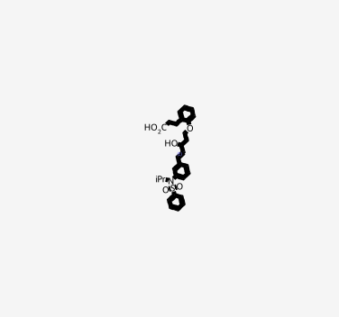 CC(C)N(c1cccc(/C=C/C(O)CCOc2ccccc2CCC(=O)O)c1)S(=O)(=O)c1ccccc1